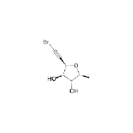 C[C@@H]1O[C@H](C#CBr)[C@H](O)C1O